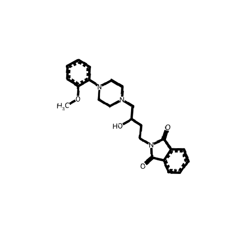 COc1ccccc1N1CCN(CC(O)CCN2C(=O)c3ccccc3C2=O)CC1